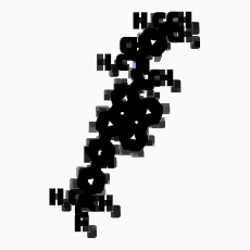 C=C/C(=C\N=C(\c1ccc(C(C)(C)C)cc1)C(C)C)C1=CC2C(C=C1)c1ccc(-c3cnc(C4=CCC(C(C)(C)C)C=C4)nc3)cc1C21c2ccccc2-c2ccccc21